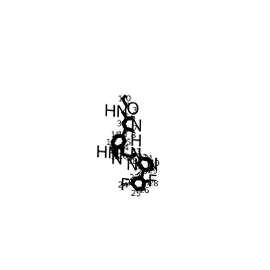 CCC(=O)Nc1cncc(-c2ccc3[nH]nc(-c4nc5c(-c6cc(F)ccc6F)cncc5[nH]4)c3c2)c1